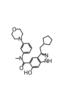 CN(C(=O)c1cc2c(CC3CCCC3)n[nH]c2cc1O)c1cccc(N2CCOCC2)c1